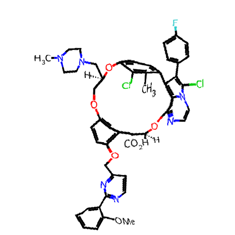 COc1ccccc1-c1nccc(COc2ccc3cc2C[C@H](C(=O)O)Oc2nccn4c(Cl)c(-c5ccc(F)cc5)c(c24)-c2ccc(c(Cl)c2C)O[C@H](CN2CCN(C)CC2)CO3)n1